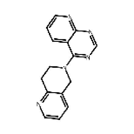 c1cnc2c(c1)CN(c1ncnc3ncccc13)CC2